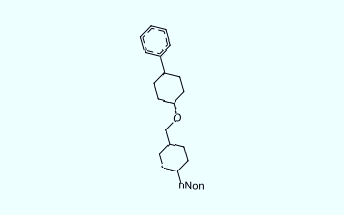 CCCCCCCCCC1CCC(COC2CCC(c3ccccc3)CC2)CC1